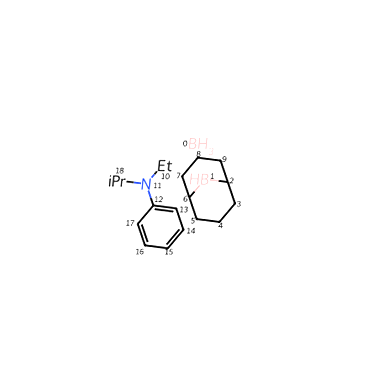 B.B1C2CCCC1CCC2.CCN(c1ccccc1)C(C)C